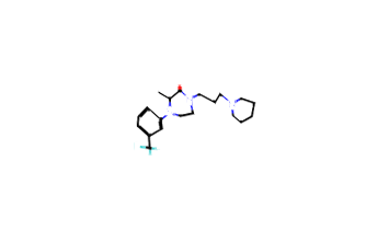 CC1C(=O)N(CCCN2CCCCC2)CCN1c1cccc(C(F)(F)F)c1